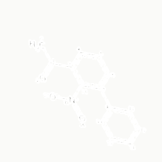 CC(=O)c1cccc(-c2ccccc2)c1[N+](=O)[O-]